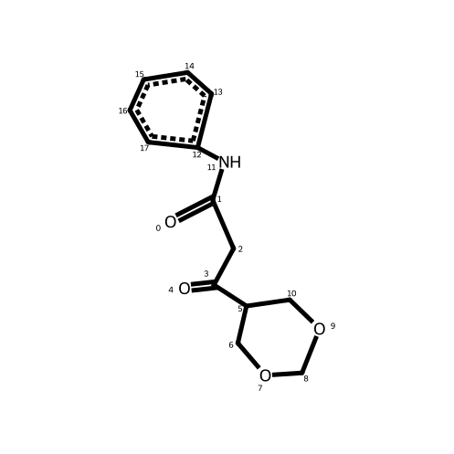 O=C(CC(=O)C1COCOC1)Nc1ccccc1